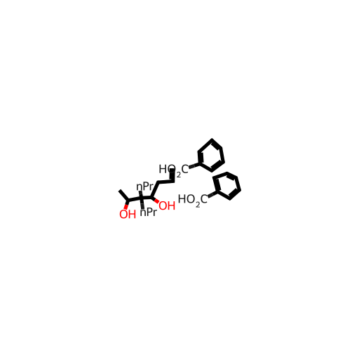 C=CCC(O)C(CCC)(CCC)C(C)O.O=C(O)c1ccccc1.O=C(O)c1ccccc1